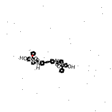 O=C(Nc1ccc(C#Cc2ccc(NC(=O)[C@@H]3CCCN3C(=O)C(c3ccccc3)N3CC[C@@H](O)C3)cc2)cc1)[C@@H]1CCCN1C(=O)C(c1ccccc1)N1CC[C@@H](O)C1